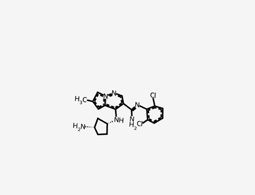 Cc1cc2c(N[C@@H]3CC[C@H](N)C3)c(/C(N)=N/c3c(Cl)cccc3Cl)cnn2c1